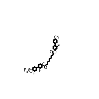 N#Cc1ccc(-c2ccc(OC(=O)CCCCCCCC(=O)Oc3ccc(-c4ccc(OC(F)(F)F)c(F)c4)c(F)c3)cc2F)cc1